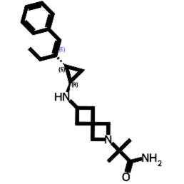 CC/C(=C\c1ccccc1)[C@@H]1C[C@H]1NC1CC2(C1)CN(C(C)(C)C(N)=O)C2